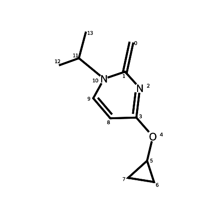 C=C1N=C(OC2CC2)C=CN1C(C)C